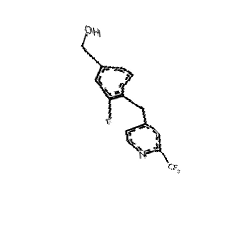 OCc1ccc(Cc2ccnc(C(F)(F)F)c2)c(F)c1